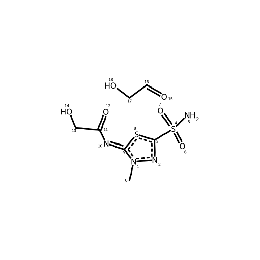 Cn1nc(S(N)(=O)=O)sc1=NC(=O)CO.O=CCO